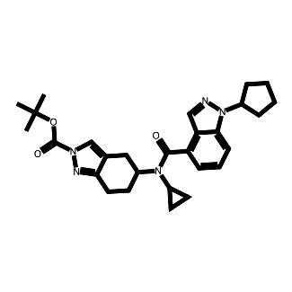 CC(C)(C)OC(=O)n1cc2c(n1)CCC(N(C(=O)c1cccc3c1cnn3C1CCCC1)C1CC1)C2